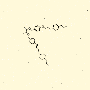 CCC[C@H]1CC[C@H](CCCOc2ccc(CO[C@H](C)[C@@H](C)OCc3ccc(OCCC[C@H]4CC[C@H](CCC)CC4)cc3)cc2)CC1